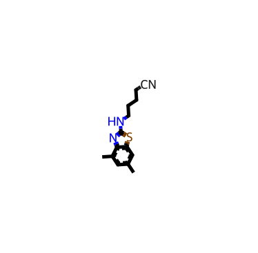 Cc1cc(C)c2nc(NCCCCC#N)sc2c1